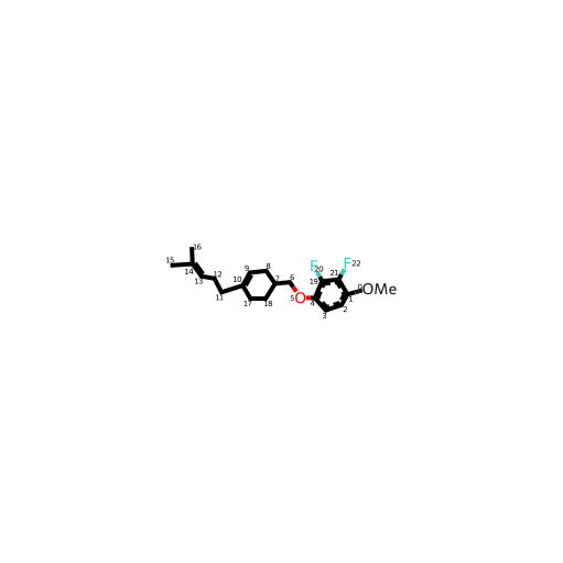 COc1ccc(OCC2CC=C(CCC=C(C)C)CC2)c(F)c1F